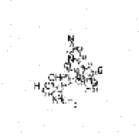 Cn1cc(C(C)(O)c2ccc3c(c2)C(=O)N(Cc2ccc(C#N)cn2)[C@@]3(O[C@H]2CCOC2)c2ccc(Cl)cc2)cn1